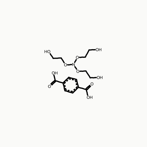 O=C(O)c1ccc(C(=O)O)cc1.OCCON(OCCO)OCCO